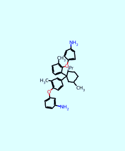 Cc1cc(C2(c3cccc(C)c3Oc3ccc(N)cc3)CC(C)CCC2C(C)C)ccc1Oc1cccc(N)c1